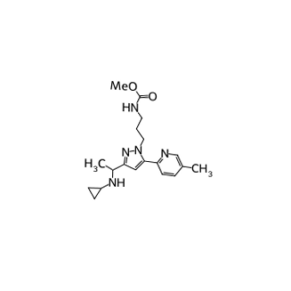 COC(=O)NCCCn1nc(C(C)NC2CC2)cc1-c1ccc(C)cn1